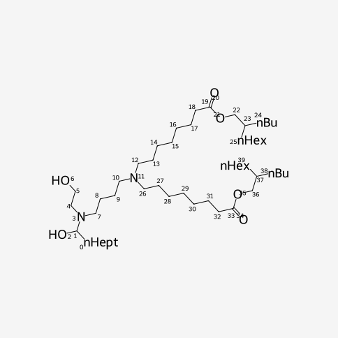 CCCCCCCC(O)N(CCO)CCCCN(CCCCCCCC(=O)OCC(CCCC)CCCCCC)CCCCCCCC(=O)OCC(CCCC)CCCCCC